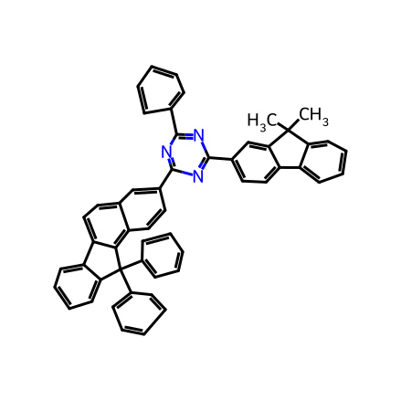 CC1(C)c2ccccc2-c2ccc(-c3nc(-c4ccccc4)nc(-c4ccc5c6c(ccc5c4)-c4ccccc4C6(c4ccccc4)c4ccccc4)n3)cc21